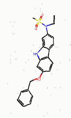 CCN(c1ccc2c(c1)[nH]c1cc(OCc3ccccc3)ccc12)S(C)(=O)=O